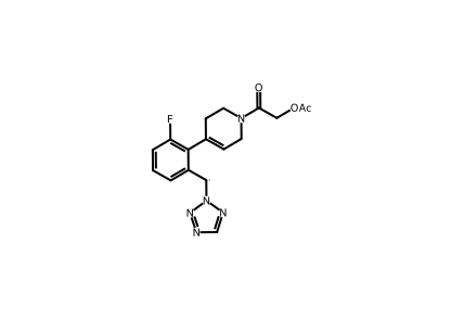 CC(=O)OCC(=O)N1CC=C(c2c(F)cccc2[CH]n2ncnn2)CC1